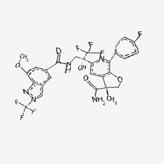 COc1cc(C(=O)NC[C@](O)(c2cc3c(c(-c4ccc(F)cc4)n2)OC[C@]3(C)C(N)=O)C(F)(F)F)cc2cn(C(F)(F)F)nc12